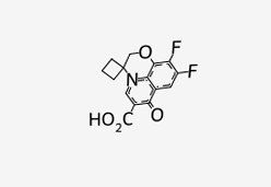 O=C(O)c1cn2c3c(c(F)c(F)cc3c1=O)OCC21CCC1